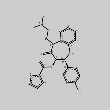 CN(C)CCN1C(=O)[C@H](OC(=O)c2cccs2)[C@H](c2ccc(F)cc2)Sc2ccccc21